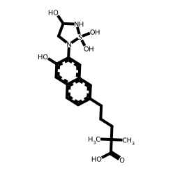 CC(C)(CCCc1ccc2cc(O)c(N3CC(O)NS3(O)O)cc2c1)C(=O)O